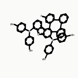 CC(C)(C)c1ccc(N(c2ccc(C(C)(C)C)cc2)c2cc3oc4c(N(c5ccc(C(C)(C)C)cc5)c5ccc(C(C)(C)C)cc5)cccc4c3c3c2-c2ccccc2-c2ccccc2-c2ccc(F)cc2-3)cc1